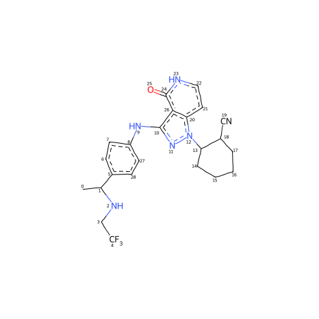 CC(NCC(F)(F)F)c1ccc(Nc2nn(C3CCCCC3C#N)c3cc[nH]c(=O)c23)cc1